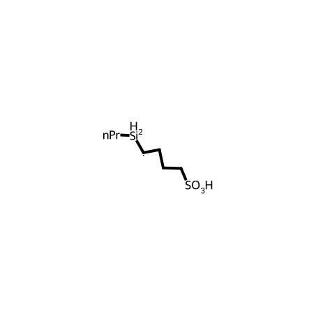 CCC[SiH2][CH]CCCS(=O)(=O)O